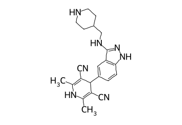 CC1=C(C#N)C(c2ccc3[nH]nc(NCC4CCNCC4)c3c2)C(C#N)=C(C)N1